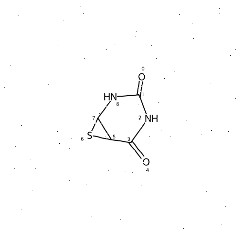 O=C1NC(=O)C2SC2N1